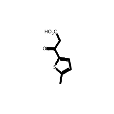 Cc1ccc(C(=O)CC(=O)O)s1